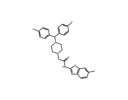 O=C(CN1CCN(C(c2ccc(F)cc2)c2ccc(F)cc2)CC1)Nc1nc2ccc(F)cc2s1